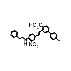 O=C(O)c1ccc(-c2ccc(F)cc2)cc1/C=C/c1ccc(NCCc2ccccc2)c([N+](=O)[O-])c1